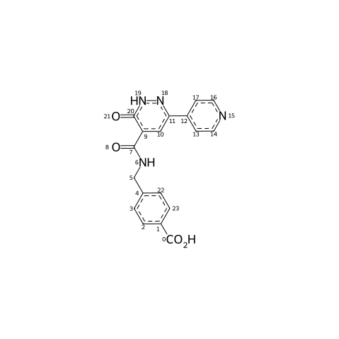 O=C(O)c1ccc(CNC(=O)c2cc(-c3ccncc3)n[nH]c2=O)cc1